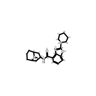 CN1C2CCCC1CC(NC(=O)c1cccc3oc(N4CCCCC4)nc13)C2